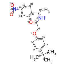 CC(NC(=O)COc1ccc(C(C)(C)C)cc1)c1ccc([N+](=O)[O-])cc1